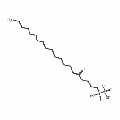 CCCCCCCCCCCCCCCC(=O)OCCCC(O)(O)P(=O)(O)O